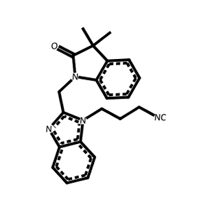 [C-]#[N+]CCCn1c(CN2C(=O)C(C)(C)c3ccccc32)nc2ccccc21